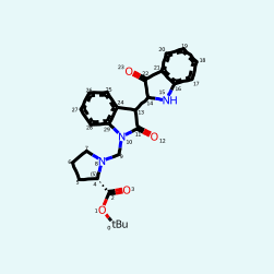 CC(C)(C)OC(=O)[C@@H]1CCCN1CN1C(=O)C(C2Nc3ccccc3C2=O)c2ccccc21